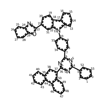 c1ccc(-c2nc(-c3ccc(-n4c5ccccc5c5ccc(-c6nc7ccccc7o6)cc54)cc3)nc(-c3cc4ccccc4c4ccccc34)n2)cc1